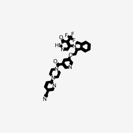 N#Cc1ccc(N2CCN(C(=O)c3cncc(OCC4c5ccccc5CN4c4cn[nH]c(=O)c4C(F)(F)F)c3)CC2)nc1